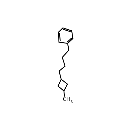 CC1CC(CCCCc2ccccc2)C1